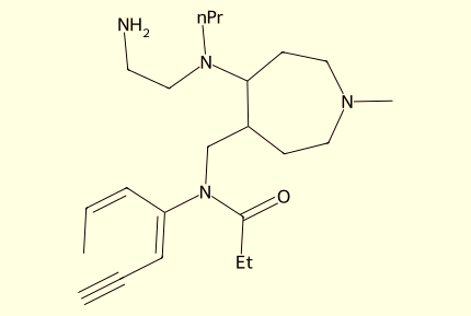 C#C/C=C(\C=C/C)N(CC1CCN(C)CCC1N(CCC)CCN)C(=O)CC